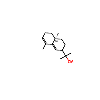 CC1=CCC[C@@]2(C)CCC(C(C)(C)O)C=C12